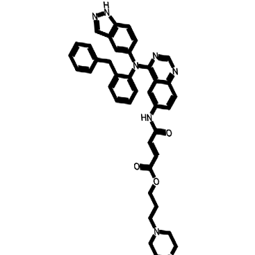 O=C(C=CC(=O)OCCCN1CCOCC1)Nc1ccc2ncnc(N(c3ccc4[nH]ncc4c3)c3ccccc3Cc3ccccc3)c2c1